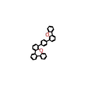 c1ccc2c(c1)Oc1c(-c3ccc(-c4cccc5c4oc4ccccc45)cc3)cccc1-c1ccccc1-2